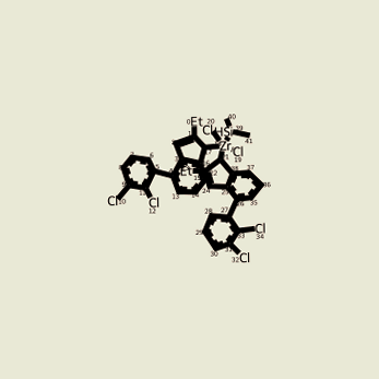 CCC1=Cc2c(-c3cccc(Cl)c3Cl)cccc2[CH]1[Zr]([Cl])([Cl])([CH]1C(CC)=Cc2c(-c3cccc(Cl)c3Cl)cccc21)[SiH](C)C